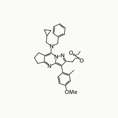 COc1ccc(-c2c(CS(C)(=O)=O)nn3c(N(Cc4ccccc4)CC4CC4)c4c(nc23)CCC4)c(C)c1